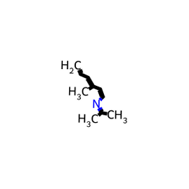 C=C/C=C(C)/C=C\N=C(C)C